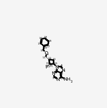 Nc1ncnc2c1ncn2C1C[C@@H](COCc2ccccc2)[C@H]1F